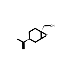 C=C(C)[C@H]1CC[C@@]2(CO)OC2C1